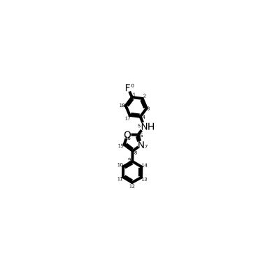 Fc1ccc(Nc2nc(-c3ccccc3)co2)cc1